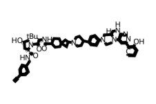 C#Cc1ccc(CNC(=O)[C@@H]2C[C@@H](O)CN2C(=O)[C@@H](NC(=O)C2CCC3(CC2)CC(N2CCC(c4ccc(N5CCN6c7cc(-c8ccccc8O)nnc7NC[C@H]6C5)cc4)CC2)C3)C(C)(C)C)cc1